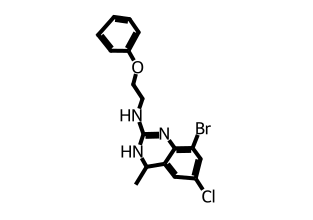 CC1NC(NCCOc2ccccc2)=Nc2c(Br)cc(Cl)cc21